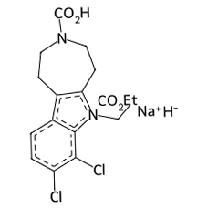 CCOC(=O)Cn1c2c(c3ccc(Cl)c(Cl)c31)CCN(C(=O)O)CC2.[H-].[Na+]